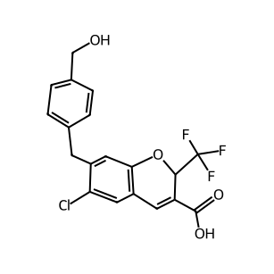 O=C(O)C1=Cc2cc(Cl)c(Cc3ccc(CO)cc3)cc2OC1C(F)(F)F